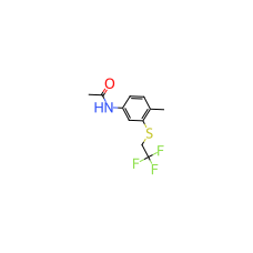 CC(=O)Nc1ccc(C)c(SCC(F)(F)F)c1